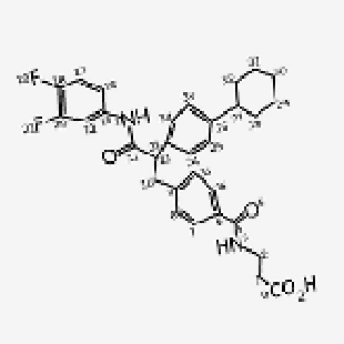 O=C(O)CCNC(=O)c1ccc(CC(C(=O)Nc2ccc(F)c(F)c2)c2ccc(C3CCCCC3)cc2)cc1